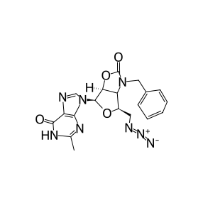 Cc1nc2c(ncn2[C@@H]2O[C@H](CN=[N+]=[N-])C3[C@@H]2OC(=O)N3Cc2ccccc2)c(=O)[nH]1